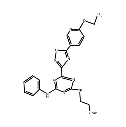 COCCNc1nc(Nc2ccccc2)nc(-c2noc(-c3ccc(OCC(F)(F)F)nc3)n2)n1